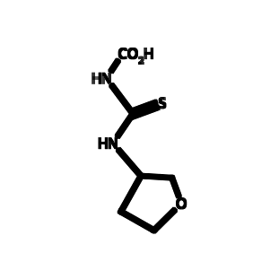 O=C(O)NC(=S)NC1CCOC1